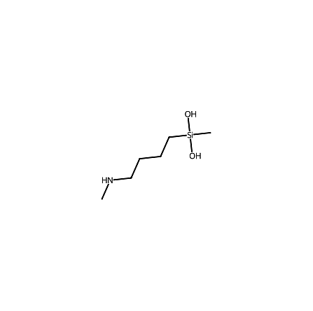 CNCCCC[Si](C)(O)O